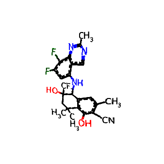 Cc1ncc2c(NC3c4cc(C)c(C#N)c(O)c4C(C)(C)CC3(O)C(F)(F)F)cc(F)c(F)c2n1